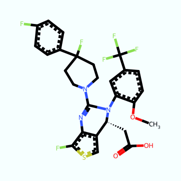 COc1ccc(C(F)(F)F)cc1N1C(N2CCC(F)(c3ccc(F)cc3)CC2)=Nc2c(csc2F)[C@H]1CC(=O)O